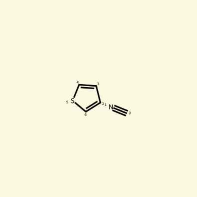 C#N.c1ccsc1